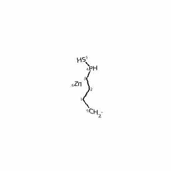 [CH2]CCCPS.[Zn]